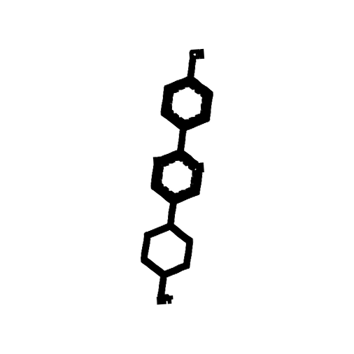 CCCC1CCC(c2cnc(-c3ccc(C#N)cc3)nc2)CC1